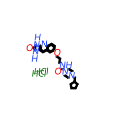 Cl.Cl.O=C(NCCCOc1ccc2nc3[nH]c(=O)[nH]c3cc2c1)N1CCN(CC2CCCC2)CC1